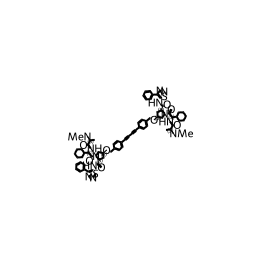 CN[C@@H](C)C(=O)N[C@H](C(=O)N1C[C@@H](OCc2ccc(C#CC#Cc3ccc(CO[C@H]4C[C@@H](C(=O)Nc5snnc5-c5ccccc5)N(C(=O)[C@@H](NC(=O)[C@H](C)NC)C5CCCCC5)C4)cc3)cc2)C[C@H]1C(=O)Nc1snnc1-c1ccccc1)C1CCCCC1